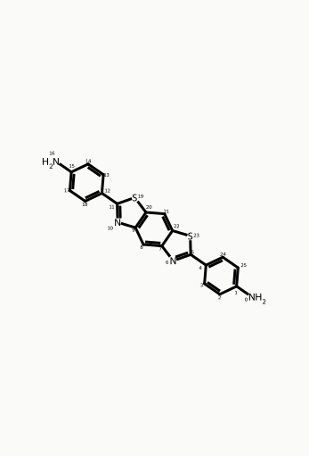 Nc1ccc(-c2nc3cc4nc(-c5ccc(N)cc5)sc4cc3s2)cc1